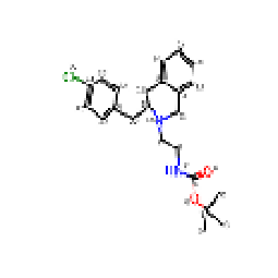 CC(C)(C)OC(=O)NCCN1Cc2ccccc2CC1Cc1ccc(Cl)cc1